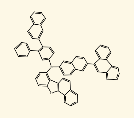 c1ccc(-c2cc(N(c3ccc4cc(-c5cc6ccccc6c6ccccc56)ccc4c3)c3cccc4oc5c6ccccc6ccc5c34)ccc2-c2ccc3ccccc3c2)cc1